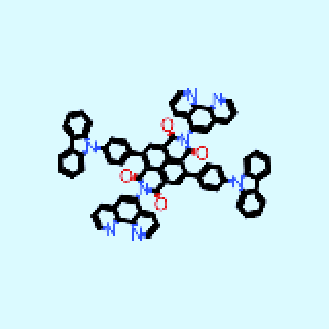 O=C1c2cc(-c3ccc(-n4c5ccccc5c5ccccc54)cc3)c3c4c(cc(-c5ccc(-n6c7ccccc7c7ccccc76)cc5)c(c24)C(=O)N1c1cc2cccnc2c2ncccc12)C(=O)N(c1cc2cccnc2c2ncccc12)C3=O